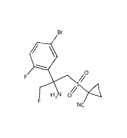 N#CC1(S(=O)(=O)CC(N)(CF)c2cc(Br)ccc2F)CC1